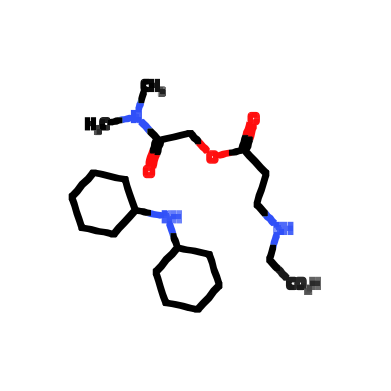 C1CCC(NC2CCCCC2)CC1.CN(C)C(=O)COC(=O)CCNCC(=O)O